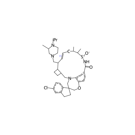 CC1C/C=C/C(CN2CCN(C(C)C)C(C)C2)C2CCC2CN2CC3(CCc4cc(Cl)ccc43)COc3ccc(cc32)C(=O)N[S+]([O-])C1C